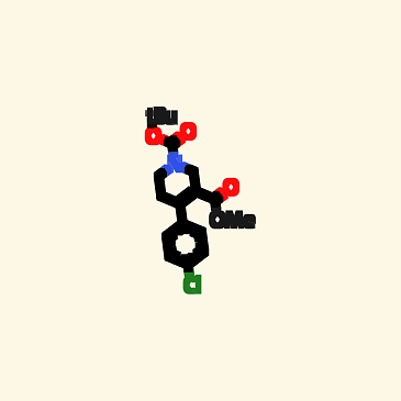 COC(=O)C1=C(c2ccc(Cl)cc2)CCN(C(=O)OC(C)(C)C)C1